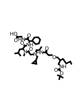 CCCCC(CNC(=O)OC(C)(C)C)COCCC(=O)NC(C)CN(CC(=O)N(C)C(CC(C)C)C(=O)NC(C(=O)NCC(=O)O)C1CCCCC1)CC1CC1